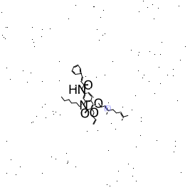 C=CCOc1c(OC/C=C(\C)CCC=C(C)C)c2ccc(NC(=O)C=Cc3ccccc3)cc2n(CCCCCC)c1=O